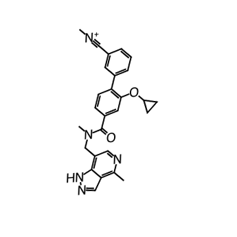 C[N+]#Cc1cccc(-c2ccc(C(=O)N(C)Cc3cnc(C)c4cn[nH]c34)cc2OC2CC2)c1